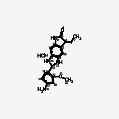 CCC1C(=O)Nc2cc3c(cc21)NC(c1ccc(N)cc1OC)N3.Cl